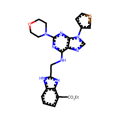 CCOC(=O)c1cccc2[nH]c(CNc3nc(N4CCOCC4)nc4c3ncn4-c3ccsc3)nc12